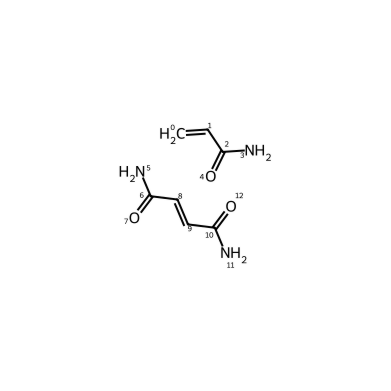 C=CC(N)=O.NC(=O)/C=C/C(N)=O